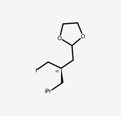 CC(C)C[C@@H](CI)CC1OCCO1